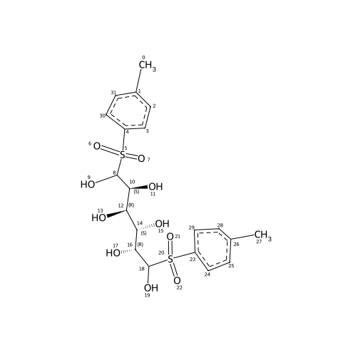 Cc1ccc(S(=O)(=O)C(O)[C@@H](O)[C@H](O)[C@H](O)[C@@H](O)C(O)S(=O)(=O)c2ccc(C)cc2)cc1